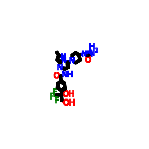 Cc1cc2nc(NC(=O)c3ccc([C@@](O)(CO)C(F)(F)F)cc3)cc(N3CCC(NC(N)=O)CC3)n2n1